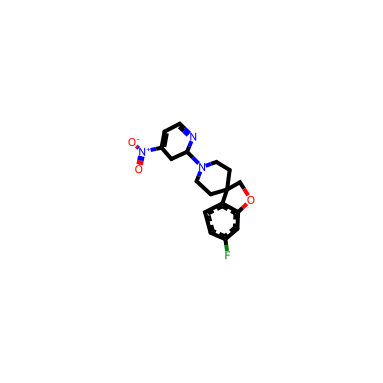 O=[N+]([O-])C1=CC=NC(N2CCC3(CC2)COc2cc(F)ccc23)C1